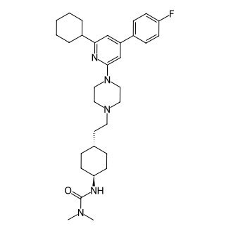 CN(C)C(=O)N[C@H]1CC[C@H](CCN2CCN(c3cc(-c4ccc(F)cc4)cc(C4CCCCC4)n3)CC2)CC1